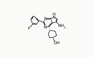 Nc1c[nH]c2nc(-c3cccc(F)c3)nc([C@H]3CC[C@H](O)CC3)c12